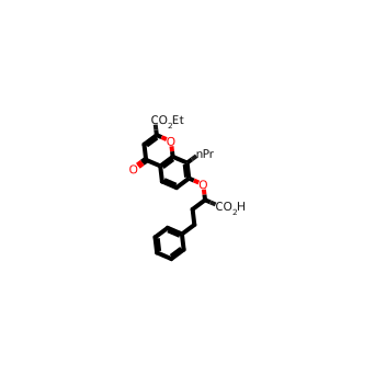 CCCc1c(OC(CCc2ccccc2)C(=O)O)ccc2c(=O)cc(C(=O)OCC)oc12